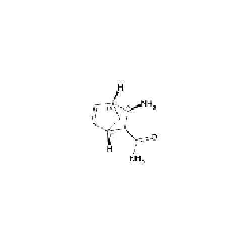 NC(=O)C1[C@@H]2C=C[C@@H](C2)[C@H]1N